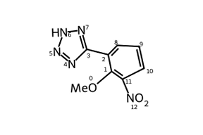 COc1c(-c2nn[nH]n2)cccc1[N+](=O)[O-]